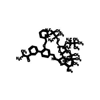 CN(C)C(=O)c1cccc(-c2ccc(CNc3nc4c(N)ncnc4n3[C@@H]3O[C@H](CO[Si](C)(C)C(C)(C)C)[C@@H](O[Si](C)(C)C(C)(C)C)[C@H]3O[Si](C)(C)C(C)(C)C)cc2OCc2ccccc2)c1